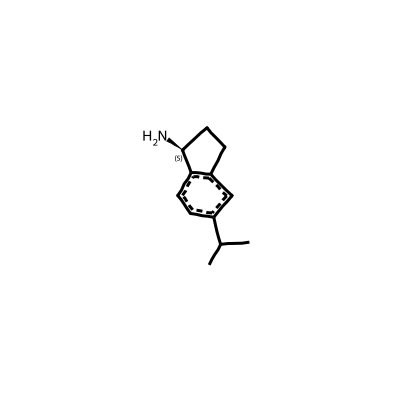 CC(C)c1ccc2c(c1)CC[C@@H]2N